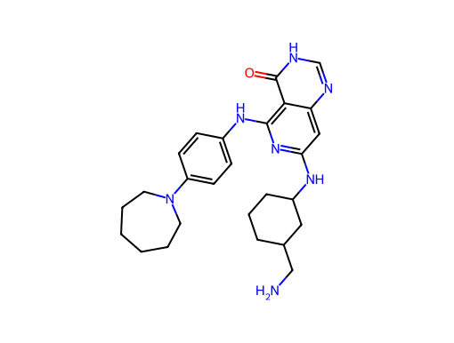 NCC1CCCC(Nc2cc3nc[nH]c(=O)c3c(Nc3ccc(N4CCCCCC4)cc3)n2)C1